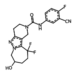 N#Cc1cc(NC(=O)N2CCc3nn4c(c3C2)C(F)(F)CCC(O)C4)ccc1F